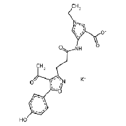 CCn1cc(NC(=O)CCc2noc(-c3ccc(O)cc3)c2C(C)=O)c(C(=O)[O-])c1.[K+]